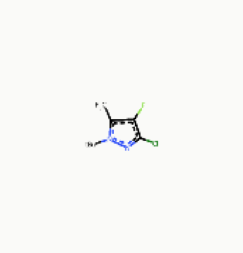 CC(C)(C)n1nc(Cl)c(F)c1C(F)(F)F